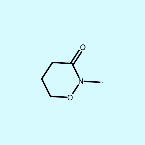 [CH2]N1OCCCC1=O